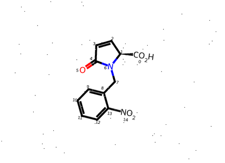 O=C(O)[C@@H]1C=CC(=O)N1Cc1ccccc1[N+](=O)[O-]